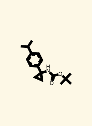 CC(C)c1ccc(C2(NC(=O)OC(C)(C)C)CC2)cc1